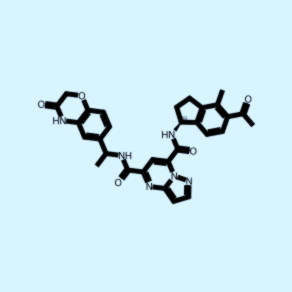 CC(=O)c1ccc2c(c1C)CC[C@@H]2NC(=O)c1cc(C(=O)NC(C)c2ccc3c(c2)NC(=O)CO3)nc2ccnn12